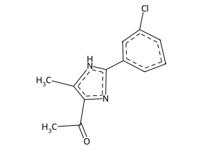 CC(=O)c1nc(-c2cccc(Cl)c2)[nH]c1C